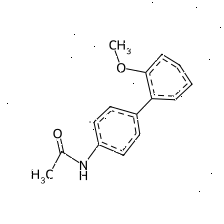 COc1ccccc1-c1c[c]c(NC(C)=O)cc1